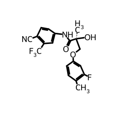 Cc1ccc(OC[C@](C)(O)C(=O)Nc2ccc(C#N)c(C(F)(F)F)c2)cc1F